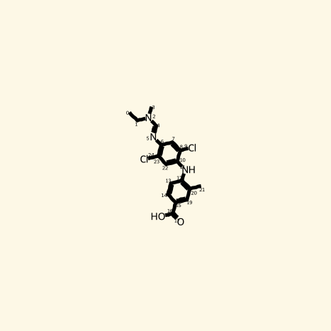 CCN(C)/C=N/c1cc(Cl)c(Nc2ccc(C(=O)O)cc2C)cc1Cl